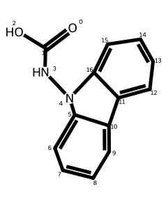 O=C(O)Nn1c2ccccc2c2ccccc21